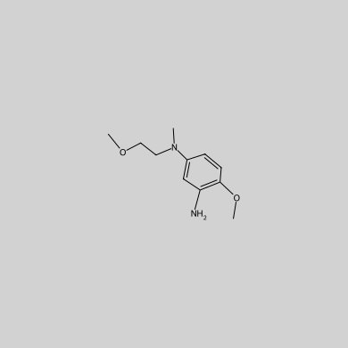 COCCN(C)c1ccc(OC)c(N)c1